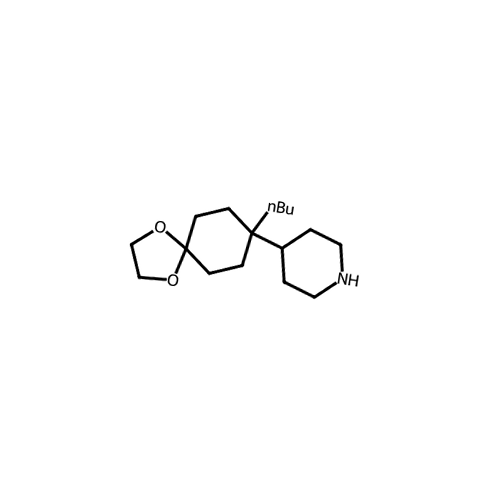 CCCCC1(C2CCNCC2)CCC2(CC1)OCCO2